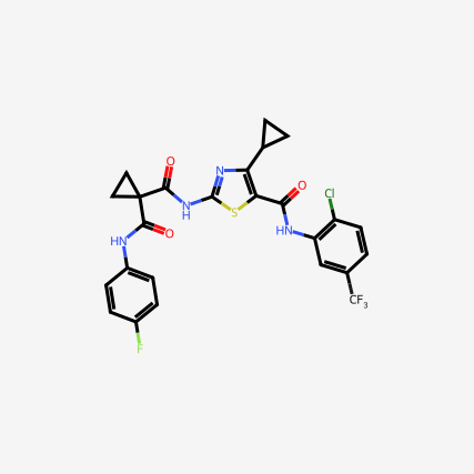 O=C(Nc1cc(C(F)(F)F)ccc1Cl)c1sc(NC(=O)C2(C(=O)Nc3ccc(F)cc3)CC2)nc1C1CC1